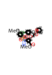 COC(=O)c1cc(NS(=O)(=O)c2ccc(OC)cc2)c(Oc2cc(OC)ccc2Cl)c(OCCOC2CCCCO2)c1